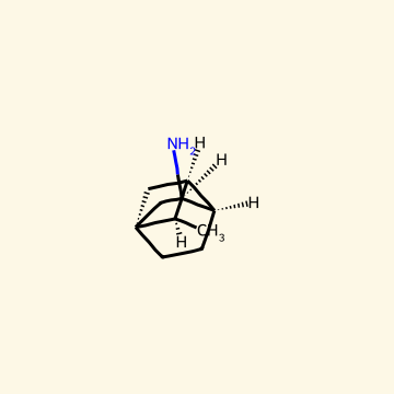 C[C@@H]1[C@H]2C[C@@]13CC[C@H]2[C@H](N)C3